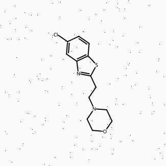 Clc1ccc2sc(CCN3CCOCC3)nc2c1